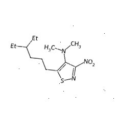 CCC(CC)CCCc1snc([N+](=O)[O-])c1N(C)C